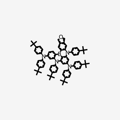 CC(C)(C)c1ccc(N(c2ccc(C(C)(C)C)cc2)c2ccc3c(c2)N(c2ccc(C(C)(C)C)cc2)c2cc(N(c4ccc(C(C)(C)C)cc4)c4ccc(C(C)(C)C)cc4)cc4c2B3c2cc3cocc3cc2N4c2ccc(C(C)(C)C)cc2)cc1